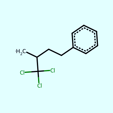 [CH2]C(CCc1ccccc1)C(Cl)(Cl)Cl